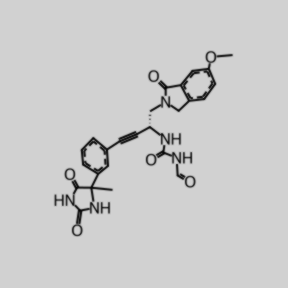 COc1ccc2c(c1)C(=O)N(C[C@@H](C#Cc1cccc(C3(C)NC(=O)NC3=O)c1)NC(=O)NC=O)C2